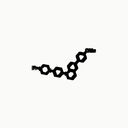 COc1ccc(-c2ccc3c(c2)C=CCN3c2ccc(N3CCN(C(C)C)CC3)cc2)cc1